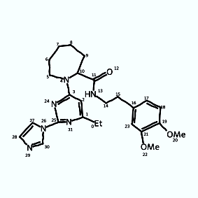 CCc1cc(N2CCCCCC2C(=O)NCCc2ccc(OC)c(OC)c2)nc(-n2ccnc2)n1